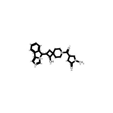 CN1CC(C(=O)N2CCC3(CC2)CC(C2c4ccccc4-c4cncn42)C3O)CC1=O